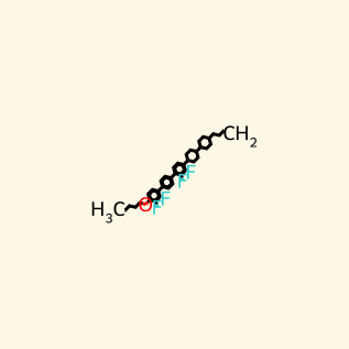 C=CCCC1CCC(C2CCC(c3ccc(-c4ccc(-c5ccc(OCCCCC)c(F)c5F)cc4)c(F)c3F)CC2)CC1